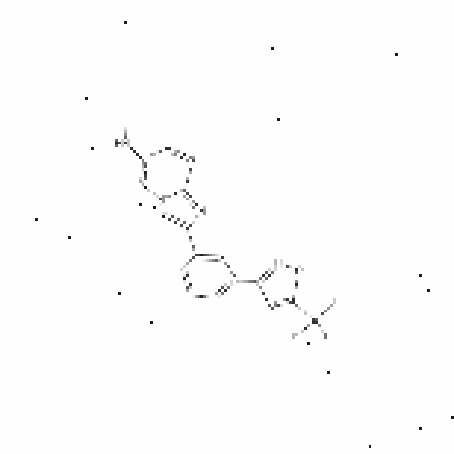 CNc1ccc2nc(-c3cccc(-c4noc(C(F)(F)F)n4)c3)cn2n1